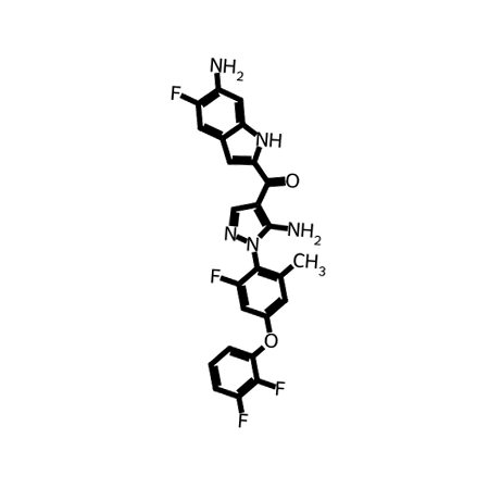 Cc1cc(Oc2cccc(F)c2F)cc(F)c1-n1ncc(C(=O)c2cc3cc(F)c(N)cc3[nH]2)c1N